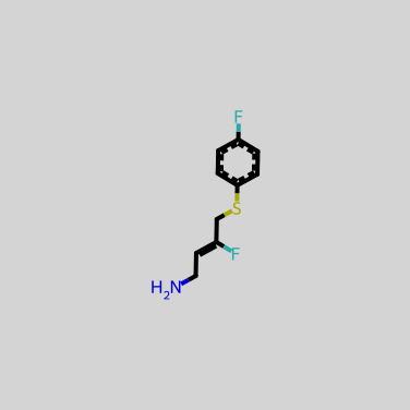 NC/C=C(\F)CSc1ccc(F)cc1